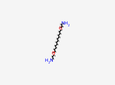 NCCCOCCCCCCCCCCCCCOCCN